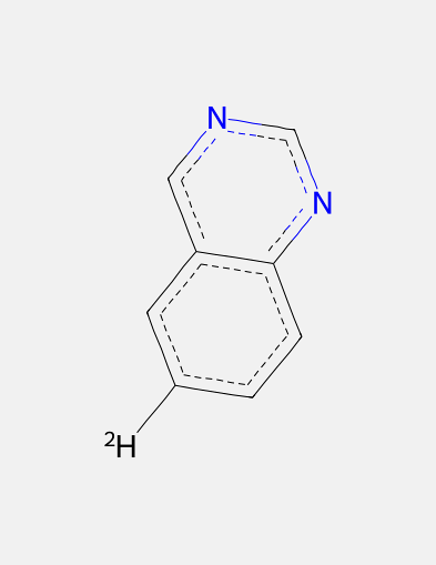 [2H]c1ccc2ncncc2c1